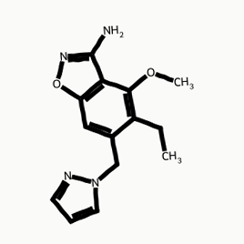 CCc1c(Cn2cccn2)cc2onc(N)c2c1OC